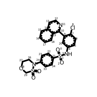 O=S(=O)(Nc1ccc(Cl)c(-c2nccc3ccccc23)c1)c1ccc(N2CCOCS2(=O)=O)cc1